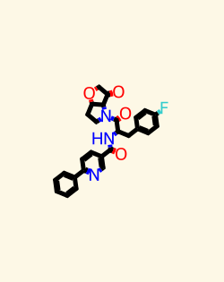 O=C(NC(Cc1ccc(F)cc1)C(=O)N1CCC2OCC(=O)C21)c1ccc(-c2ccccc2)nc1